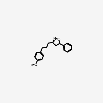 COc1ccc(CCCC2=NOC(c3ccccc3)C2)cc1